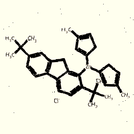 CC1=CC[C]([Zr+]([C]2=CC(C)=CC2)[c]2c(C(C)(C)C)ccc3c2Cc2cc(C(C)(C)C)ccc2-3)=C1.[Cl-]